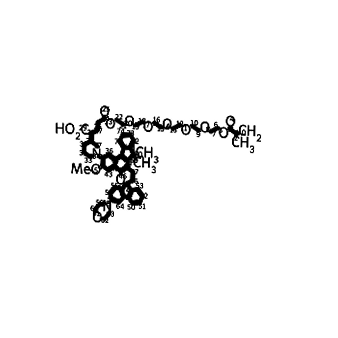 C=C(C)C(=O)OCCOCCOCCOCCOCCOCCOC(=O)CCC(C(=O)O)=C1CCCN(c2cc3c4c(c5c(c3cc2OC)OC(c2ccccc2)(c2ccc(N3CCOCC3)cc2)C=C5)C(C)(C)c2ccccc2-4)C1